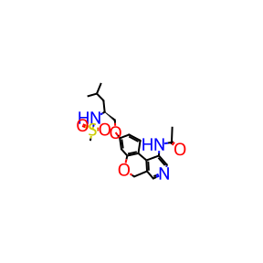 CC(=O)Nc1cncc2c1-c1ccc(OC[C@H](CC(C)C)NS(C)(=O)=O)cc1OC2